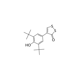 CC(C)(C)c1cc(-c2cssc2=O)cc(C(C)(C)C)c1O